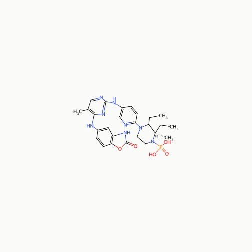 CCC1N(c2ccc(Nc3ncc(C)c(Nc4ccc5oc(=O)[nH]c5c4)n3)cn2)CCN(P(=O)(O)O)[C@]1(C)CC